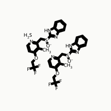 Cc1c(OCC(F)(F)F)ccnc1C[S+]([O-])c1nc2ccccc2[nH]1.Cc1c(OCC(F)(F)F)ccnc1C[S+]([O-])c1nc2ccccc2[nH]1.S